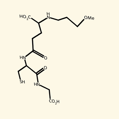 COCCCNC(CCC(=O)NC(CS)C(=O)NCC(=O)O)C(=O)O